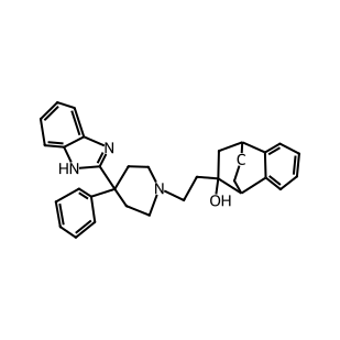 OC1(CCN2CCC(c3ccccc3)(c3nc4ccccc4[nH]3)CC2)CC2CCC1c1ccccc12